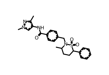 Cc1nn(C)cc1NC(=O)c1ccc(CN2C(C)CCC(c3ccccc3)S2(=O)=O)cc1